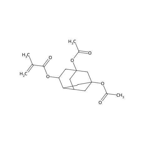 C=C(C)C(=O)OC1CC2(OC(C)=O)CC3CC(OC(C)=O)(CCC31)C2